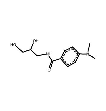 CN(C)c1ccc(C(=O)NCC(O)CO)cc1